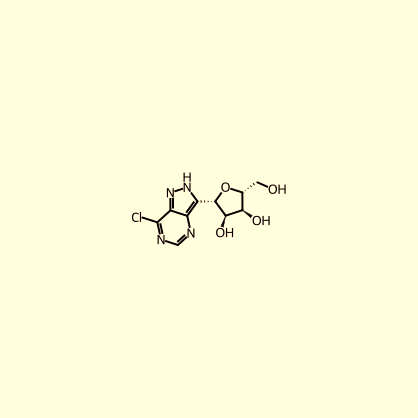 OC[C@H]1O[C@@H](c2[nH]nc3c(Cl)ncnc23)[C@H](O)[C@@H]1O